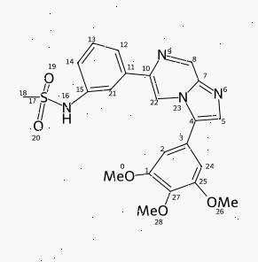 COc1cc(-c2cnc3cnc(-c4cccc(NS(C)(=O)=O)c4)cn23)cc(OC)c1OC